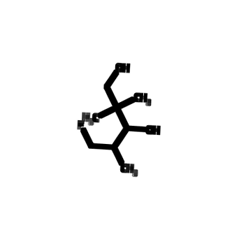 CC(CF)C(O)C(C)(C)CO